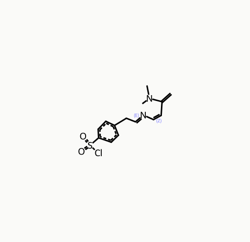 C=C(/C=C\N=C\Cc1ccc(S(=O)(=O)Cl)cc1)N(C)C